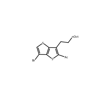 CCCCCCCCCCc1c(C(C)=O)sc2c(Br)csc12